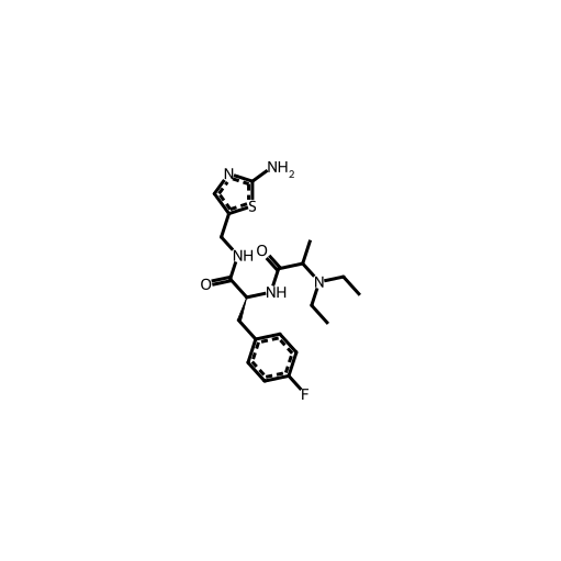 CCN(CC)C(C)C(=O)N[C@@H](Cc1ccc(F)cc1)C(=O)NCc1cnc(N)s1